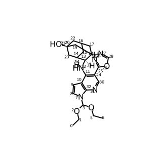 CCOC(OCC)n1ccc2c(N[C@H]3[C@@H]4CC5C[C@H]3C[C@@](O)(C5)C4)c(-c3nnco3)cnc21